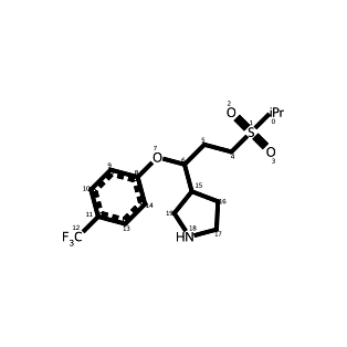 CC(C)S(=O)(=O)CCC(Oc1ccc(C(F)(F)F)cc1)C1CCNC1